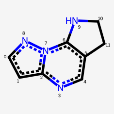 c1cc2ncc3c(n2n1)NCC3